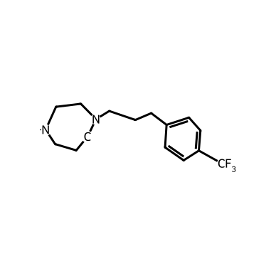 FC(F)(F)c1ccc(CCCN2CCC[N]CC2)cc1